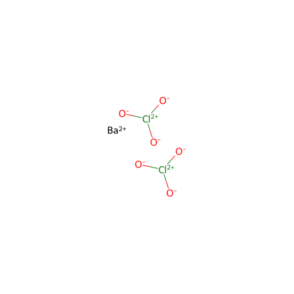 [Ba+2].[O-][Cl+2]([O-])[O-].[O-][Cl+2]([O-])[O-]